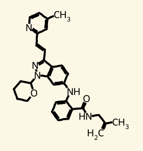 C=C(C)CNC(=O)c1ccccc1Nc1ccc2c(C=Cc3cc(C)ccn3)nn(C3CCCCO3)c2c1